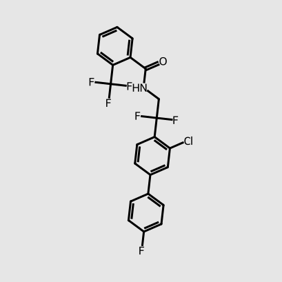 O=C(NCC(F)(F)c1ccc(-c2ccc(F)cc2)cc1Cl)c1ccccc1C(F)(F)F